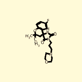 CC1(C)CC2(NC(=O)N(CCCN3CCOCC3)C2=O)c2cc(F)ccc2O1